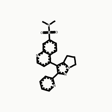 CN(C)S(=O)(=O)c1ccc2c(-c3c(-c4ccccn4)nn4c3CCC4)ccnc2c1